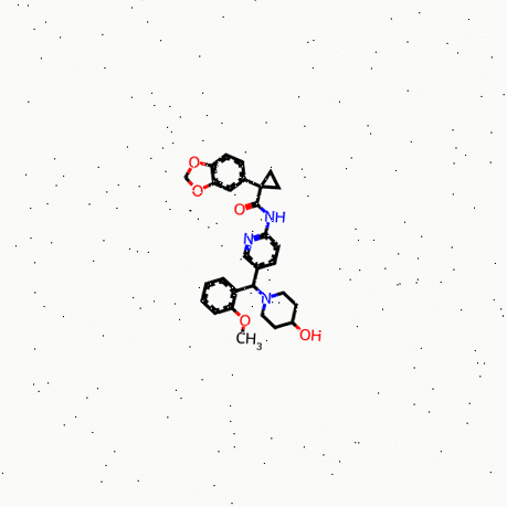 COc1ccccc1C(c1ccc(NC(=O)C2(c3ccc4c(c3)OCO4)CC2)nc1)N1CCC(O)CC1